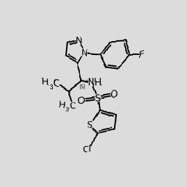 CC(C)[C@H](NS(=O)(=O)c1ccc(Cl)s1)c1ccnn1-c1ccc(F)cc1